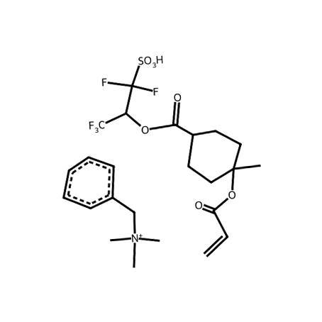 C=CC(=O)OC1(C)CCC(C(=O)OC(C(F)(F)F)C(F)(F)S(=O)(=O)O)CC1.C[N+](C)(C)Cc1ccccc1